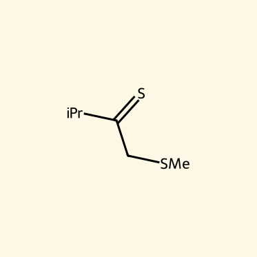 CSCC(=S)C(C)C